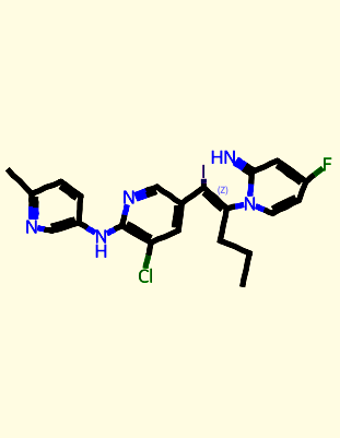 CCC/C(=C(/I)c1cnc(Nc2ccc(C)nc2)c(Cl)c1)n1ccc(F)cc1=N